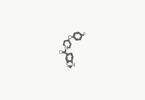 O=C(c1ccc2ncsc2c1)N1CCC(Oc2ccc(F)cc2)CC1